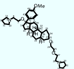 COc1ccc([C@]2(OCCN3CCCC3)CC[C@H]3[C@@H]4CC[C@@H]5C[C@@H](OCCOCCN6CCCC6)CC[C@]5(C)[C@H]4CC[C@@]32C)cc1